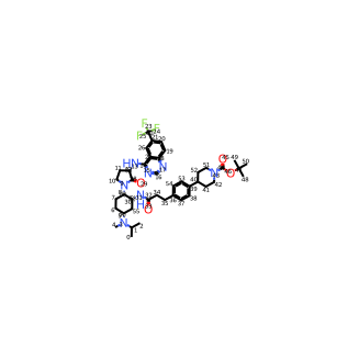 CC(C)N(C)[C@@H]1CC[C@H](N2CC[C@H](Nc3ncnc4ccc(C(F)(F)F)cc34)C2=O)[C@H](NC(=O)CCc2ccc(C3CCN(C(=O)OC(C)(C)C)CC3)cc2)C1